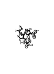 CCC(C)N1CCc2c(NS(C)(=O)=O)nc3c([N+](=O)[O-])cnn3c21